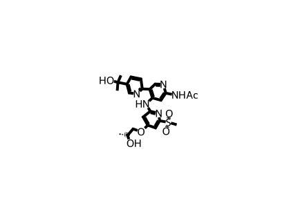 CC(=O)Nc1cc(Nc2cc(OC[C@@H](C)O)cc(S(C)(=O)=O)n2)c(-c2ccc(C(C)(C)O)cn2)cn1